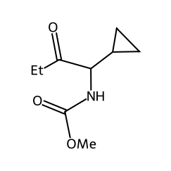 CCC(=O)C(NC(=O)OC)C1CC1